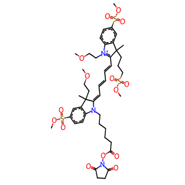 COCC[N+]1=C(/C=C/C=C/C=C2/N(CCCCCC(=O)ON3C(=O)CCC3=O)c3ccc(S(=O)(=O)OC)cc3C2(C)CCOC)C(C)(CCCS(=O)(=O)OC)c2cc(S(=O)(=O)OC)ccc21